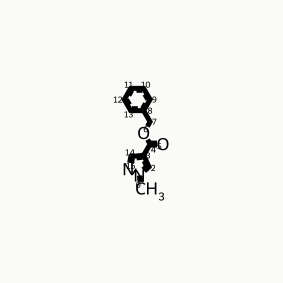 Cn1cc(C(=O)OCc2ccccc2)cn1